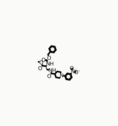 COC(=O)[C@H](CNC(=O)C1CCN(c2cccc([N+](=O)[O-])c2)CC1)NC(=O)OCc1ccccc1